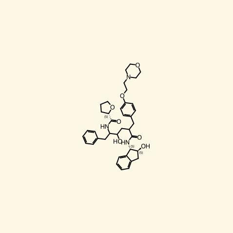 O=C(N[C@H]1c2ccccc2C[C@@H]1O)C(Cc1ccc(OCCN2CCOCC2)cc1)CC(O)C(Cc1ccccc1)NC(=O)[C@@H]1CCCO1